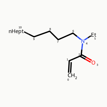 C=CC(=O)N(CC)CCCCCCCCCCC